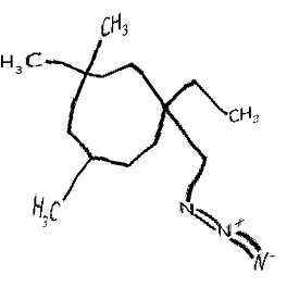 CCC1(CN=[N+]=[N-])CC(C)CC(C)(C)C1